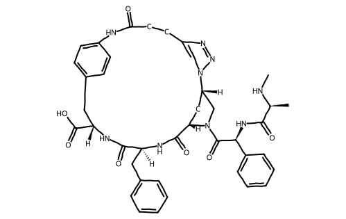 CN[C@@H](C)C(=O)N[C@H](C(=O)N1C[C@@H]2C[C@H]1C(=O)N[C@@H](Cc1ccccc1)C(=O)N[C@H](C(=O)O)Cc1ccc(cc1)NC(=O)CCc1cn2nn1)c1ccccc1